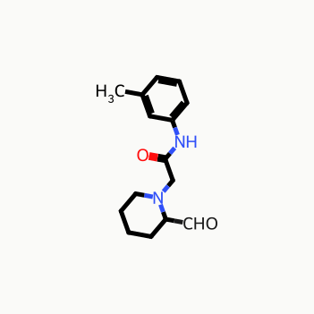 Cc1cccc(NC(=O)CN2CCCCC2C=O)c1